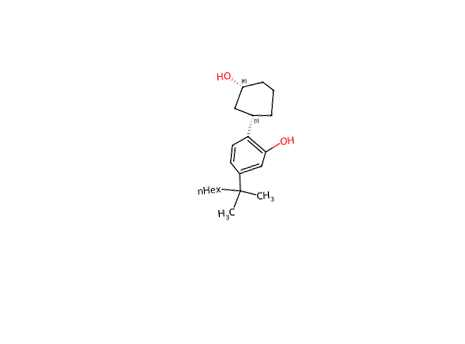 CCCCCCC(C)(C)c1ccc([C@H]2CCC[C@@H](O)C2)c(O)c1